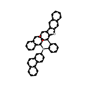 c1ccc(N(c2ccc3c(ccc4ccccc43)c2)c2cccc3ccccc23)c(-c2cccc3c2oc2cc4ccccc4cc23)c1